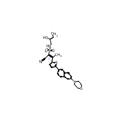 CCC(O)CNS(=O)(=O)/C(C#N)=C(\C)c1ccc(-c2ccc3cc(N4CCOCC4)ccc3c2)s1